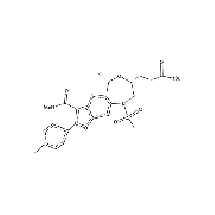 CNC(=O)c1c(-c2ccc(C)cc2)oc2cc3c(cc12)[C@H](C)O[C@H](CCC(=O)C(C)(C)C)CN3S(C)(=O)=O